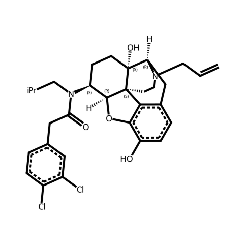 C=CCN1CC[C@]23c4c5ccc(O)c4O[C@H]2[C@@H](N(CC(C)C)C(=O)Cc2ccc(Cl)c(Cl)c2)CC[C@@]3(O)[C@H]1C5